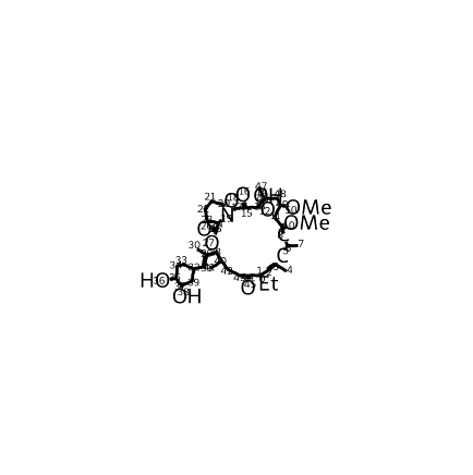 CCC1/C=C(\C)CC(C)CC(OC)C2OC(O)(C(=O)C(=O)N3CCCCC3C(=O)OC(C(C)=CC3CCC(O)C(O)C3)C(C)CCC1=O)C(C)CC2OC